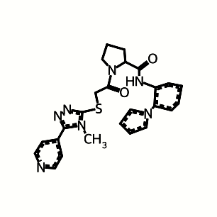 Cn1c(SCC(=O)N2CCCC2C(=O)Nc2ccccc2-n2cccc2)nnc1-c1ccncc1